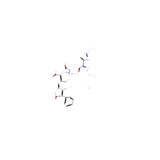 CO/N=C(\C(=O)N[C@@H]1C(=O)N2C(C(=O)[O-])=C(/C=C3/OC(=O)C(c4ccccc4)=C3C)CS[C@@H]12)c1csc(N)n1.[Na+]